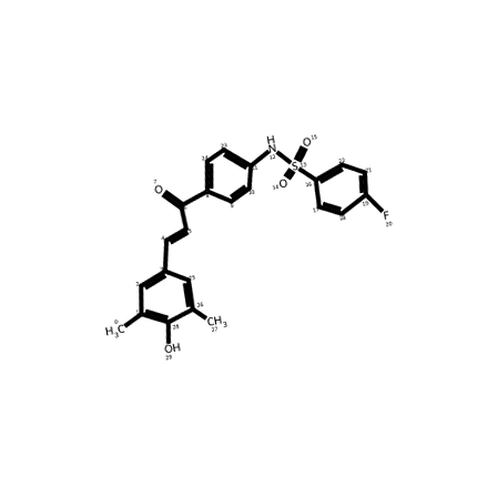 Cc1cc(C=CC(=O)c2ccc(NS(=O)(=O)c3ccc(F)cc3)cc2)cc(C)c1O